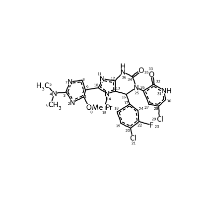 COc1nc(N(C)C)ncc1-c1nc2c(n1C(C)C)C(c1ccc(Cl)c(F)c1)N(c1cc(Cl)c[nH]c1=O)C(=O)N2